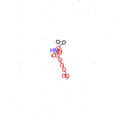 CC(C)(C)OCC(NC(=O)OCC1c2ccccc2-c2ccccc21)C(=O)OCCOCCOCCOCCC(=O)OC(C)(C)C